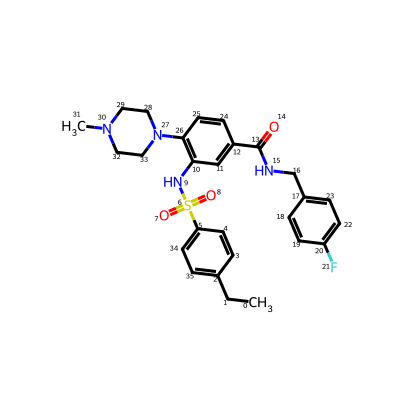 CCc1ccc(S(=O)(=O)Nc2cc(C(=O)NCc3ccc(F)cc3)ccc2N2CCN(C)CC2)cc1